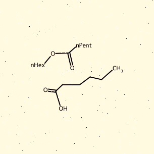 CCCCCC(=O)O.CCCCCCOC(=O)CCCCC